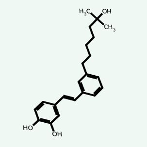 CC(C)(O)CCCCCc1cccc(C=Cc2ccc(O)c(O)c2)c1